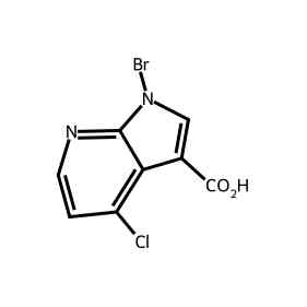 O=C(O)c1cn(Br)c2nccc(Cl)c12